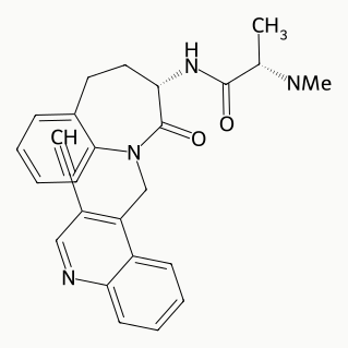 C#Cc1cnc2ccccc2c1CN1C(=O)[C@@H](NC(=O)[C@H](C)NC)CCc2ccccc21